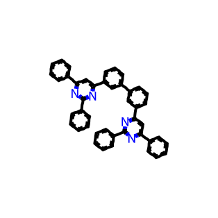 c1ccc(-c2cc(-c3cccc(-c4cccc(-c5cc(-c6ccccc6)nc(-c6ccccc6)n5)c4)c3)nc(-c3ccccc3)n2)cc1